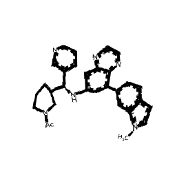 CC(=O)N1CCCC([C@H](Nc2cc(-c3ccc4ccn(C)c4c3)c3nccnc3c2)c2cccnc2)C1